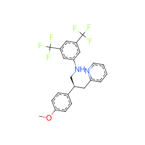 COc1ccc([C@@H](CNc2cc(C(F)(F)F)cc(C(F)(F)F)c2)Cc2ccccn2)cc1